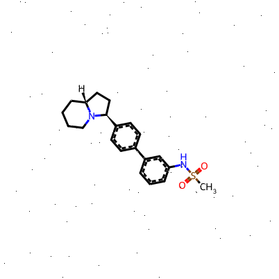 CS(=O)(=O)Nc1cccc(-c2ccc([C@@H]3CC[C@H]4CCCCN43)cc2)c1